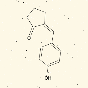 O=C1CCC/C1=C/c1ccc(O)cc1